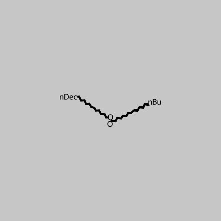 CCCCC=CC=CC=CCCCCCCCC(=O)OCCCCCCCCCCCCCCCCCCCCCC